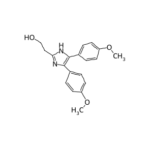 COc1ccc(-c2nc(CCO)[nH]c2-c2ccc(OC)cc2)cc1